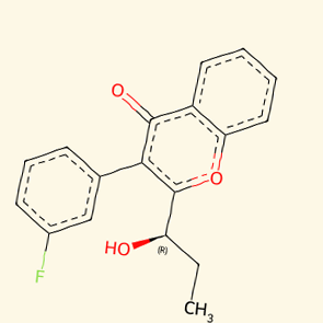 CC[C@@H](O)c1oc2ccccc2c(=O)c1-c1cccc(F)c1